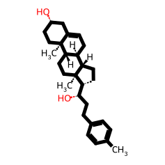 Cc1ccc(CC[C@H](O)[C@H]2CC[C@H]3[C@@H]4CC=C5C[C@@H](O)CC[C@]5(C)[C@H]4CC[C@]23C)cc1